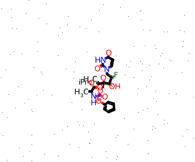 C=C[C@]1(COP(=O)(NC(C)C(=O)OC(C)C)Oc2ccccc2)OC(n2ccc(=O)[nH]c2=O)[C@H](F)[C@@H]1O